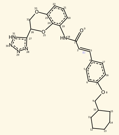 O=C(/C=C/c1ccc(OCC2CCCCC2)cc1)Nc1cccc2c1OC(c1nnn[nH]1)CO2